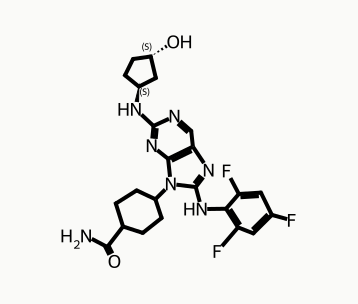 NC(=O)C1CCC(n2c(Nc3c(F)cc(F)cc3F)nc3cnc(N[C@H]4CC[C@H](O)C4)nc32)CC1